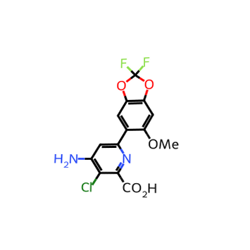 COc1cc2c(cc1-c1cc(N)c(Cl)c(C(=O)O)n1)OC(F)(F)O2